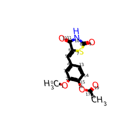 COc1cc(/C=C2\SC(=O)NC2=O)ccc1OC(C)=O